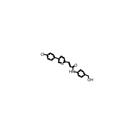 O=C(C=Cc1ccc(-c2ccc(Cl)cc2)cn1)Nc1ccc(CO)cc1